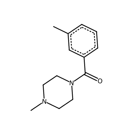 Cc1cccc(C(=O)N2CCN(C)CC2)c1